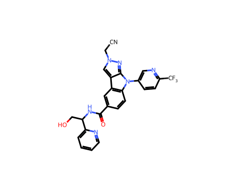 N#CCn1cc2c3cc(C(=O)NC(CO)c4ccccn4)ccc3n(-c3ccc(C(F)(F)F)nc3)c2n1